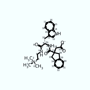 C[N+](C)(C)CCNC(=O)[C@H](Cc1c[nH]c2ccccc12)NC(=O)C1(CC(=O)[O-])Cc2ccccc2C1